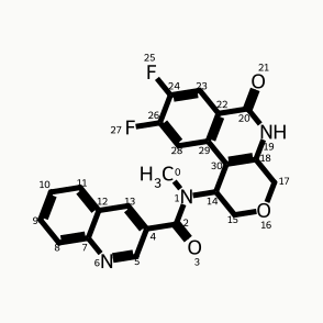 CN(C(=O)c1cnc2ccccc2c1)C1COCc2[nH]c(=O)c3cc(F)c(F)cc3c21